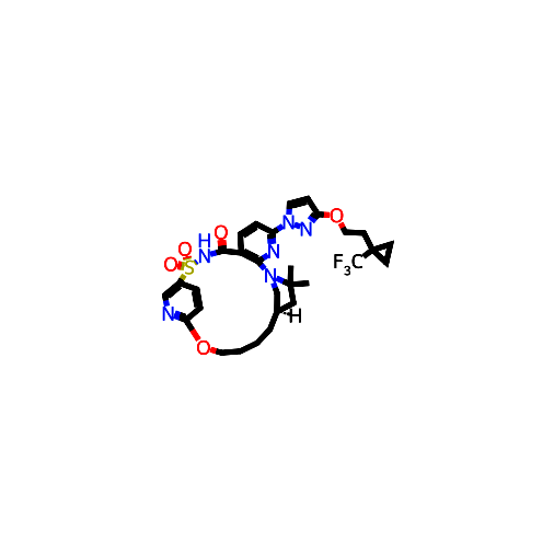 CC1(C)C[C@H]2CCCCOc3ccc(cn3)S(=O)(=O)NC(=O)c3ccc(-n4ccc(OCCC5(C(F)(F)F)CC5)n4)nc3N1C2